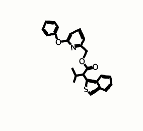 CC(C)C(C(=O)OCc1cccc(Oc2ccccc2)n1)c1scc2ccccc12